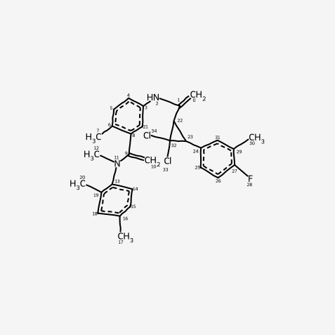 C=C(Nc1ccc(C)c(C(=C)N(C)c2ccc(C)cc2C)c1)C1C(c2ccc(F)c(C)c2)C1(Cl)Cl